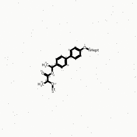 CCCCCCCOc1ccc(-c2ccc(C(C)OC(=O)C(C)OCC)cc2)cc1